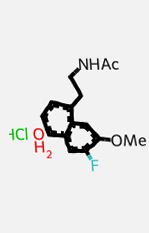 COc1cc2c(CCNC(C)=O)cccc2cc1F.Cl.O